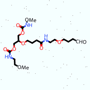 COCCNC(=O)OCC(COC(=O)NOC)OCCCC(=O)NCCOCCCC=O